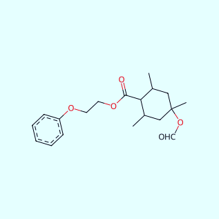 CC1CC(C)(OC=O)CC(C)C1C(=O)OCCOc1ccccc1